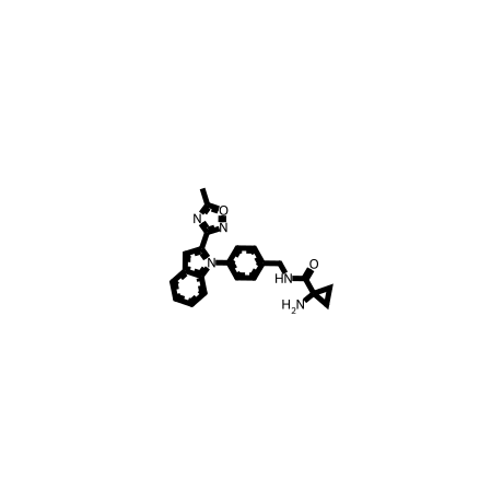 Cc1nc(-c2cc3ccccc3n2-c2ccc(CNC(=O)C3(N)CC3)cc2)no1